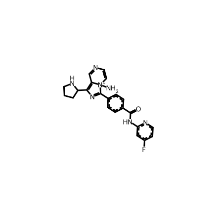 N[N+]12C=CN=CC1=C(C1CCCN1)N=C2c1ccc(C(=O)Nc2cc(F)ccn2)cc1